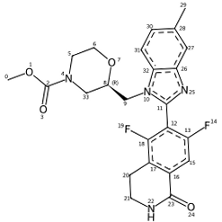 COC(=O)N1CCO[C@@H](Cn2c(-c3c(F)cc4c(c3F)CCNC4=O)nc3cc(C)ccc32)C1